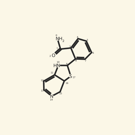 NC(=O)c1ccccc1C1NC2=CC=NCC2S1